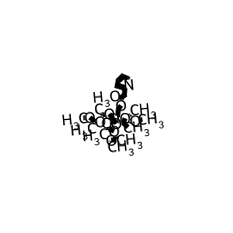 COC(C)OC(C)O[Si](CCOC(=O)Cc1ccccn1)(OC(C)OC(C)OC)OC(C)OC(C)OC